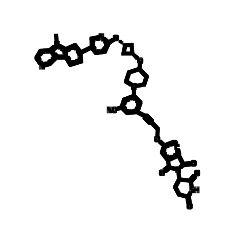 Cn1c2ccncc2c2ccc(-c3ccc(O[C@H]4C[C@H](OC5CCN(c6cc(C#N)cc(C#CCOc7ccc8c(c7)C(=O)N(C7CCC(=O)NC7=O)C8=O)c6)CC5)C4)nc3)cc21